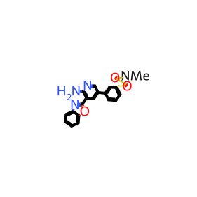 CNS(=O)(=O)c1cccc(-c2cnc(N)c(-c3nc4ccccc4o3)c2)c1